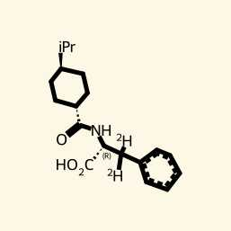 [2H]C([2H])(c1ccccc1)[C@@H](NC(=O)[C@H]1CC[C@H](C(C)C)CC1)C(=O)O